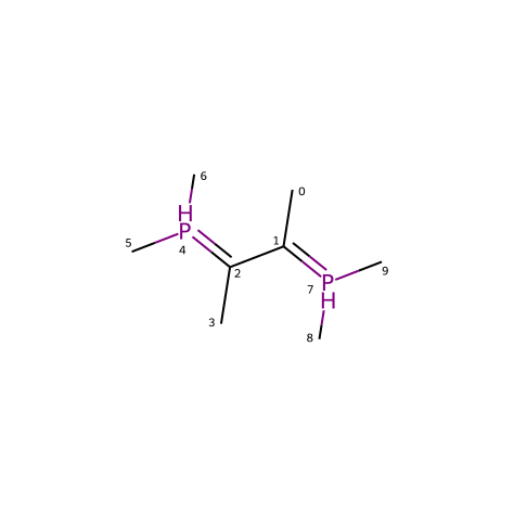 CC(C(C)=[PH](C)C)=[PH](C)C